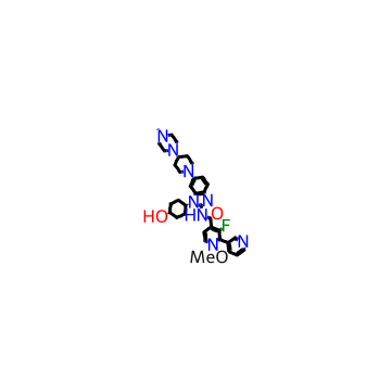 COc1ccncc1-c1nccc(C(=O)Nc2nc3ccc(N4CCC(N5CCN(C)CC5)CC4)cc3n2[C@H]2CC[C@@H](O)CC2)c1F